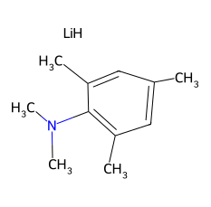 Cc1cc(C)c(N(C)C)c(C)c1.[LiH]